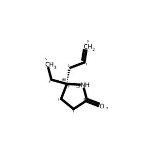 C=CC[C@@]1(CC)CCC(=O)N1